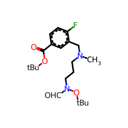 CN(CCCN(C=O)OC(C)(C)C)Cc1cc(C(=O)OC(C)(C)C)ccc1F